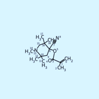 C=C(C)C(=O)OC1(C#N)CC(C)(C)N(C)CC1(C)C